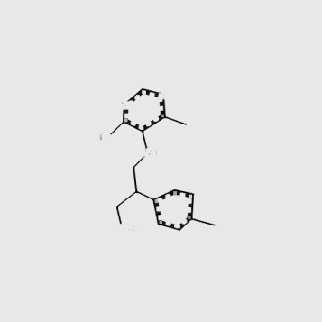 CC(=O)OCC(CNc1c(C)ncnc1C(C)C)c1ccc(Cl)cc1